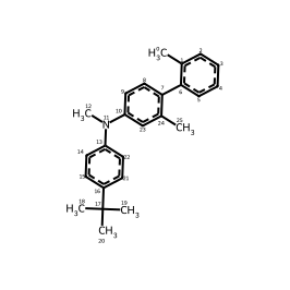 Cc1ccccc1-c1ccc(N(C)c2ccc(C(C)(C)C)cc2)cc1C